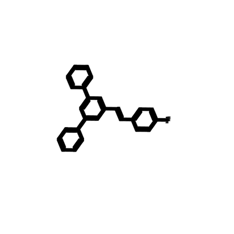 Fc1ccc(/C=C/c2cc(-c3ccccc3)cc(-c3ccccc3)c2)cc1